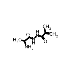 C=C(C)C(=O)NNC(=O)C(C)N